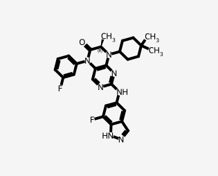 C[C@@H]1C(=O)N(c2cccc(F)c2)c2cnc(Nc3cc(F)c4[nH]ncc4c3)nc2N1C1CCC(C)(C)CC1